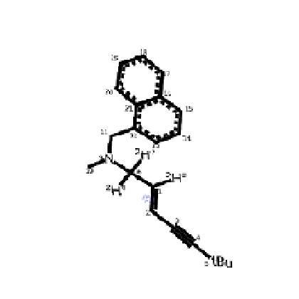 [2H]/C(=C\C#CC(C)(C)C)C([2H])([2H])N(C)Cc1cccc2ccccc12